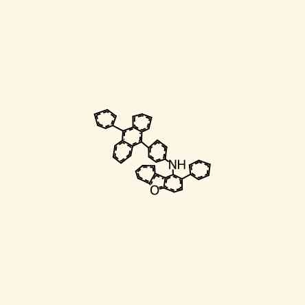 c1ccc(-c2ccc3oc4ccccc4c3c2Nc2ccc(-c3c4ccccc4c(-c4ccccc4)c4ccccc34)cc2)cc1